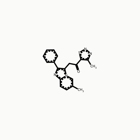 Cc1ccc2nc(-c3ccccc3)c(CC(=O)c3snnc3C)n2c1